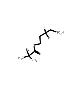 CCC(C)(C)C(=O)OCCC(F)(F)CS(=O)(=O)O